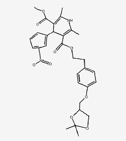 COC(=O)C1=C(C)NC(C)=C(C(=O)OCCc2ccc(OCC3COC(C)(C)O3)cc2)C1c1cccc([N+](=O)[O-])c1